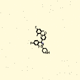 Cc1cc(F)cc(C)c1-n1cc(/C(=N/OC2CCNCC2)c2ccc(F)cc2F)ccc1=O